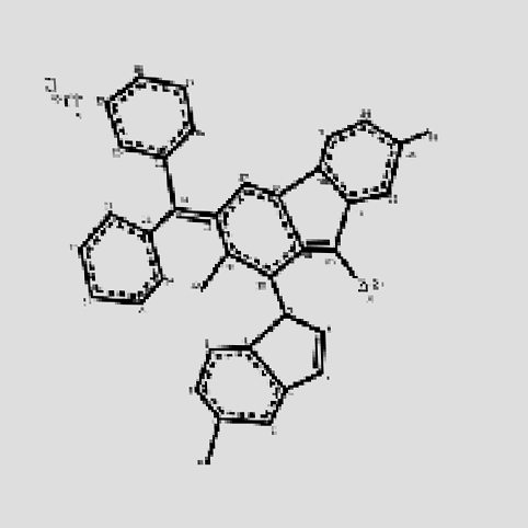 Cc1ccc2c(c1)C=CC2c1c(C)c(=C(c2ccccc2)c2ccccc2)cc2c1=[C]([Zr+2])c1cc(C)ccc1-2.[Cl-].[Cl-]